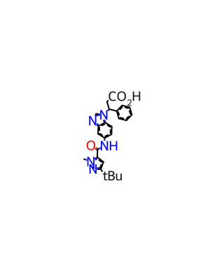 Cn1nc(C(C)(C)C)cc1C(=O)Nc1ccc2c(c1)ncn2C(CC(=O)O)c1ccccc1